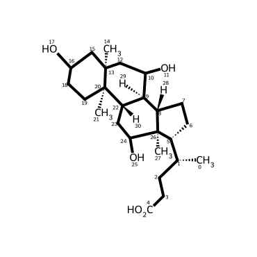 C[C@H](CCC(=O)O)[C@H]1CC[C@H]2[C@@H]3C(O)C[C@]4(C)CC(O)CC[C@]4(C)[C@H]3CC(O)[C@]12C